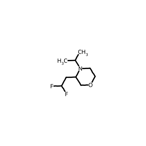 CC(C)N1CCOCC1CC(F)F